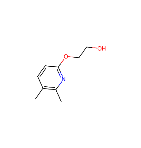 Cc1ccc(OCCO)nc1C